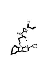 C=CC(=O)N1CC(NC(=O)Cn2c3ccccc3c3ccc(Cl)nc32)C1